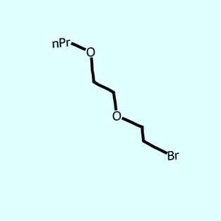 CCCOCCOCCBr